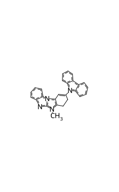 Cn1c2c(n3c4ccccc4nc13)C=C(n1c3ccccc3c3ccccc31)CC2